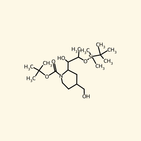 CC(O[Si](C)(C)C(C)(C)C)C(O)C1CC(CO)CCN1C(=O)OC(C)(C)C